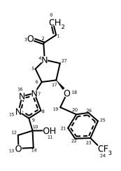 C=CC(=O)N1CC(n2cc(C3(O)COC3)nn2)[C@H](OCc2ccc(C(F)(F)F)cc2)C1